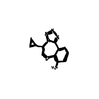 Nc1cccc2c1OC[C@@H](C1CC1)n1nnnc1-2